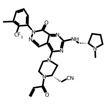 C=CC(=O)N1CCN(c2nc(NC[C@@H]3CCCN3C)nc3c(=O)n(-c4cccc(C)c4C(F)(F)F)ncc23)C[C@@H]1CC#N